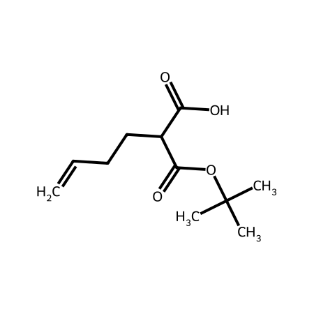 C=CCCC(C(=O)O)C(=O)OC(C)(C)C